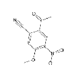 COc1cc(C#N)c(C(C)=O)cc1[N+](=O)[O-]